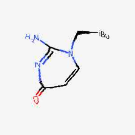 CC[C@H](C)Cn1ccc(=O)nc1N